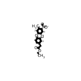 CCOC(=O)Cc1ccc(Oc2ccc([N+](=O)[O-])c(C)c2)c(Cl)c1